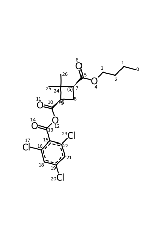 CCCCOC(=O)[C@H]1C[C@@H](C(=O)OC(=O)c2c(Cl)cc(Cl)cc2Cl)C1(C)C